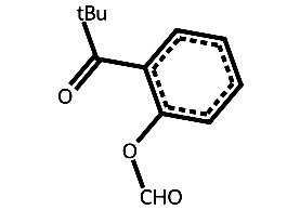 CC(C)(C)C(=O)c1ccccc1OC=O